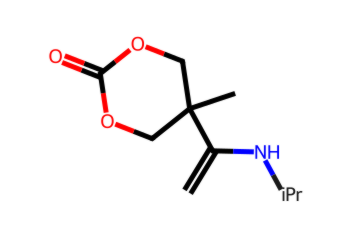 C=C(NC(C)C)C1(C)COC(=O)OC1